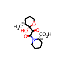 C[C@@H]1CCCO[C@@]1(O)C(=O)C(=O)N1CCCC[C@H]1C(=O)O